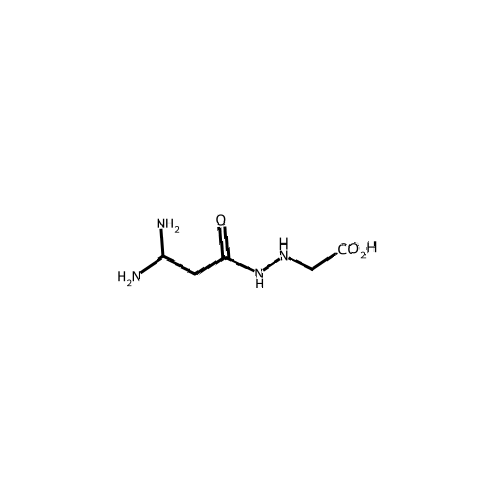 NC(N)CC(=O)NNCC(=O)O